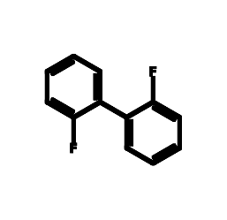 Fc1ccccc1-c1ccccc1F